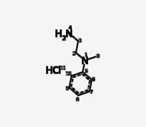 CN(CCN)c1ccccc1.Cl